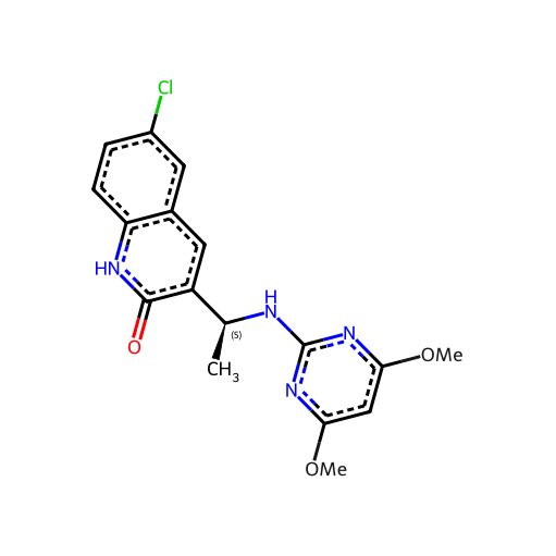 COc1cc(OC)nc(N[C@@H](C)c2cc3cc(Cl)ccc3[nH]c2=O)n1